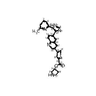 Cc1cccc(-c2[nH]cnc2-c2ccc3ncc(-c4csc(C(=O)O[C@@H]5CCNC5)c4)cc3c2)n1